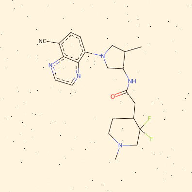 CC1CN(c2ccc(C#N)c3nccnc23)CC1NC(=O)CC1CCN(C)CC1(F)F